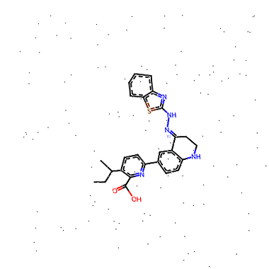 CCC(C)c1ccc(-c2ccc3c(c2)/C(=N/Nc2nc4ccccc4s2)CCN3)nc1C(=O)O